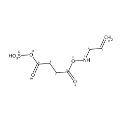 C=CCNOC(=O)CCC(=O)OS(=O)(=O)O